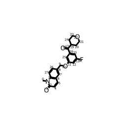 Cn1c(=O)ccc2cc(COc3cc(F)cc(C(=O)C4CCOCC4)c3)ccc21